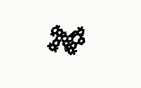 Cc1cc2c(cc1N1c3cc(C(C)(C)C)cc4c3B(c3cc5c6cc3N4c3cc4c(cc3-c3cccc(c3)C6(C)CCC5(C)C)C(C)(C)CCC4(C)C)c3sc4cc5c(cc4c31)C(C)(C)CCC5(C)C)C(C)(C)CCC2(C)C